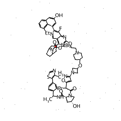 CCc1cccc2cc(O)cc(-c3ncc4c(N5CC6CCC(C5)N6C(=O)OC(C)(C)C)nc(OCCN5CCC(OC6CN(c7cc(C(C(=O)N8C[C@H](O)C[C@H]8C(=O)NC(C)c8ccc(-c9scnc9C)cc8)C(C)C)on7)C6)CC5)nc4c3F)c12